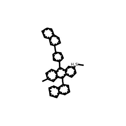 C[SiH2]c1ccc2c(-c3cccc4ccccc34)c3cc(C)ccc3c(-c3ccc(-c4ccc5ccccc5c4)cc3)c2c1